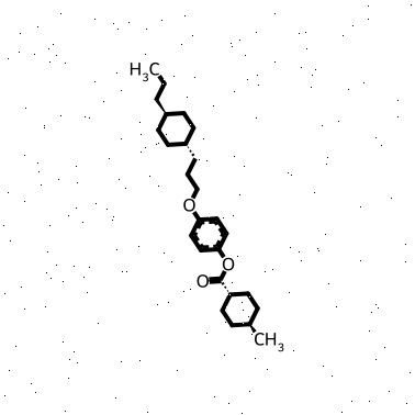 CCC[C@H]1CC[C@H](CCCOc2ccc(OC(=O)[C@H]3CC[C@H](C)CC3)cc2)CC1